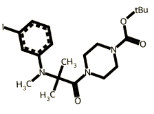 CN(c1cccc(I)c1)C(C)(C)C(=O)N1CCN(C(=O)OC(C)(C)C)CC1